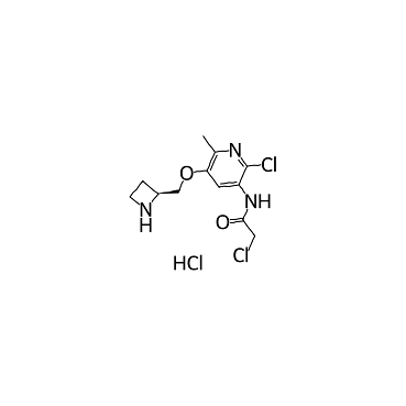 Cc1nc(Cl)c(NC(=O)CCl)cc1OC[C@@H]1CCN1.Cl